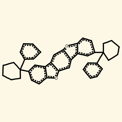 c1ccc(C2(c3ccc4oc5cc6c(cc5c4c3)oc3ccc(C4(c5ccccc5)CCCCC4)cc36)CCCCC2)cc1